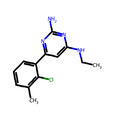 CCNc1cc(-c2cccc(C)c2Cl)nc(N)n1